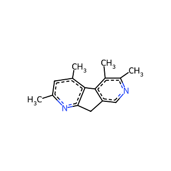 Cc1cc(C)c2c(n1)Cc1cnc(C)c(C)c1-2